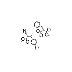 COC(=O)C(=Cc1ccccc1)C(=O)OC.COC(=O)C(C#N)=C(C)c1ccc(OC)cc1